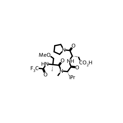 COC[C@](C)(NC(=O)C(F)(F)F)C(=O)N(C)[C@H](C(=O)N[C@@H](CC(=O)O)C(=O)N1CCCC1)C(C)C